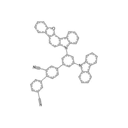 N#Cc1cccc(-c2ccc(-c3cc(-n4c5ccccc5c5ccccc54)cc(-n4c5ccccc5c5c6oc7ccccc7c6ccc54)c3)cc2C#N)c1